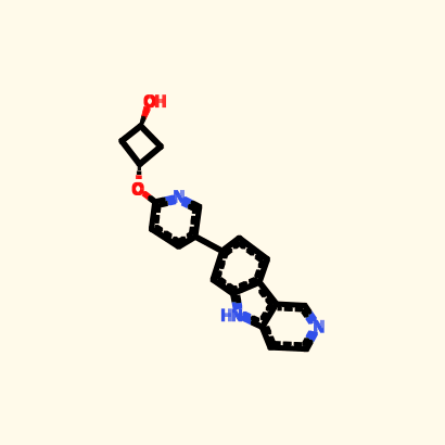 O[C@H]1C[C@H](Oc2ccc(-c3ccc4c(c3)[nH]c3ccncc34)cn2)C1